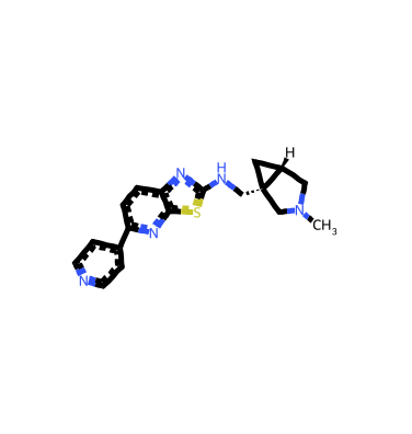 CN1C[C@H]2C[C@]2(CNc2nc3ccc(-c4ccncc4)nc3s2)C1